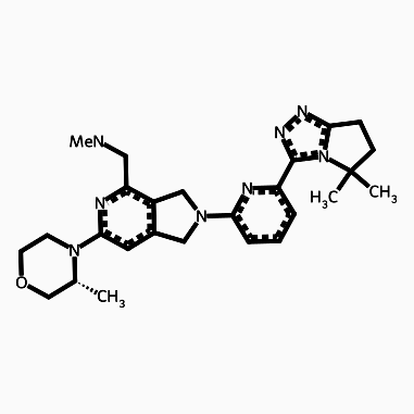 CNCc1nc(N2CCOC[C@H]2C)cc2c1CN(c1cccc(-c3nnc4n3C(C)(C)CC4)n1)C2